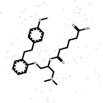 COc1ccc(CCc2ccccc2OCC(CN(C)C)OC(=O)CCCCC(=O)O)cc1